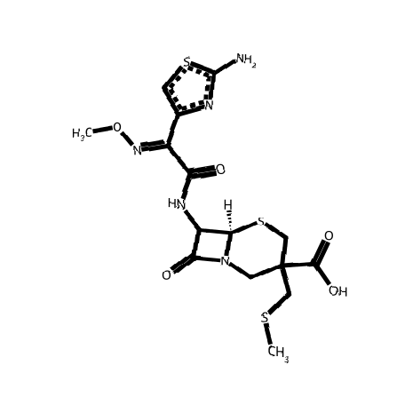 CON=C(C(=O)NC1C(=O)N2CC(CSC)(C(=O)O)CS[C@H]12)c1csc(N)n1